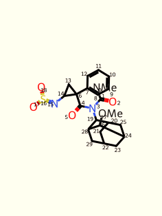 CNC(=O)N(C(=O)C1(c2ccccc2)CC1N=S(=O)=O)C1C2CC3CC(C2)C(OC)C1C3